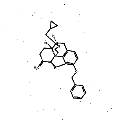 C=C1CCC2(O)[C@H]3Cc4ccc(OCc5ccccc5)c5c4[C@@]2(CCN3CC2CC2)[C@H]1O5